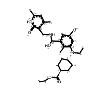 CCOC(=O)[C@H]1CC[C@H](N(CC)c2cc(Cl)cc(C(O)NCc3c(C)cc(C)[nH]c3=O)c2C)CC1